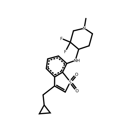 CN1CCC(Nc2cccc3c2S(=O)(=O)C=C3CC2CC2)C(F)(F)C1